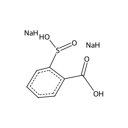 O=C(O)c1ccccc1S(=O)O.[NaH].[NaH]